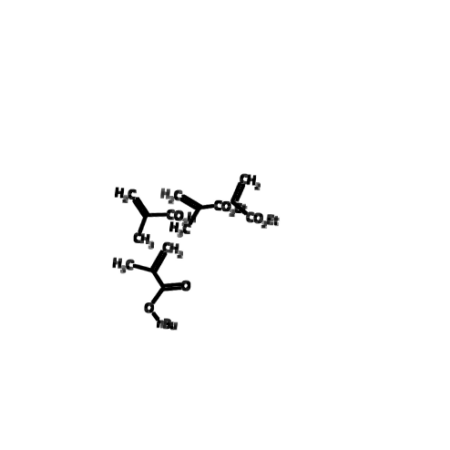 C=C(C)C(=O)O.C=C(C)C(=O)OCC.C=C(C)C(=O)OCCCC.C=CC(=O)OCC